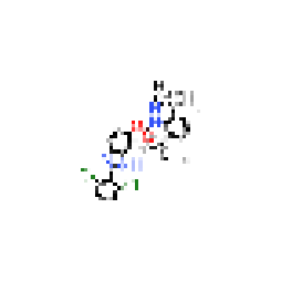 CC(C)c1cccc(C(C)C)c1NC(=O)Oc1ccc2nc(-c3c(Cl)cccc3Cl)[nH]c2c1